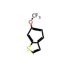 FC(F)(F)Oc1ccc2c[c]sc2c1